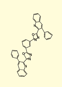 c1ccc(-c2cc3ccccc3nc2-c2nnc(-c3cccc(-c4nnc(-c5nc6ccccc6cc5-c5ccccc5)o4)c3)o2)cc1